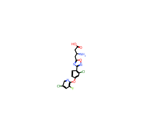 NC(CC(=O)O)Cc1nc(-c2ccc(Oc3ncc(Cl)cc3F)cc2Cl)no1